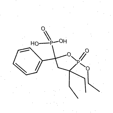 CCOP1(=O)OC(c2ccccc2)(P(=O)(O)O)CC1(CC)CC